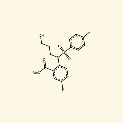 COC(=O)c1cc(F)ccc1N(CCCC#N)S(=O)(=O)c1ccc(C)cc1